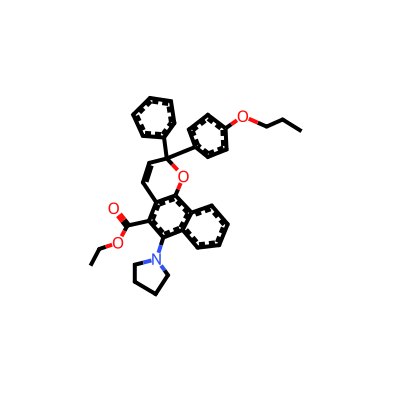 CCCOc1ccc(C2(c3ccccc3)C=Cc3c(C(=O)OCC)c(N4CCCC4)c4ccccc4c3O2)cc1